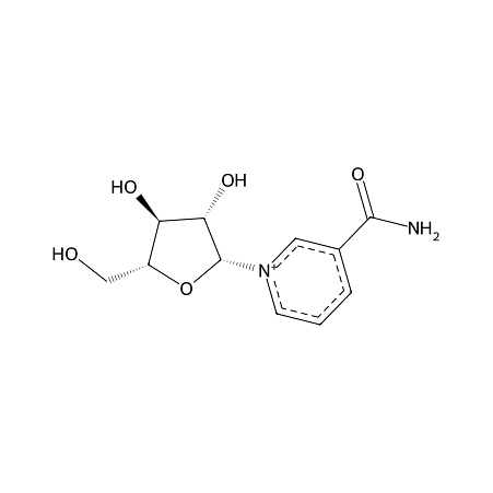 NC(=O)c1ccc[n+]([C@@H]2O[C@H](CO)[C@@H](O)[C@@H]2O)c1